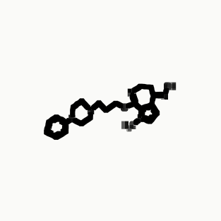 Cn1ccc2c1C(OCCCN1CCN(c3ccccc3)CC1)=NCCC2=NO